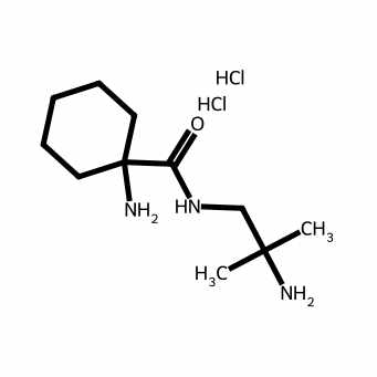 CC(C)(N)CNC(=O)C1(N)CCCCC1.Cl.Cl